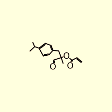 C=CC(=O)OC(C)(C=O)Cc1ccc(C(C)C)cc1